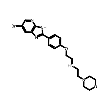 Brc1cnc2[nH]c(-c3ccc(OCCNCCN4CCOCC4)cc3)nc2c1